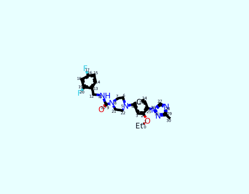 CCOc1cc(N2CCN(C(=O)NCc3ccc(F)cc3F)CC2)ccc1-n1cnc(C)n1